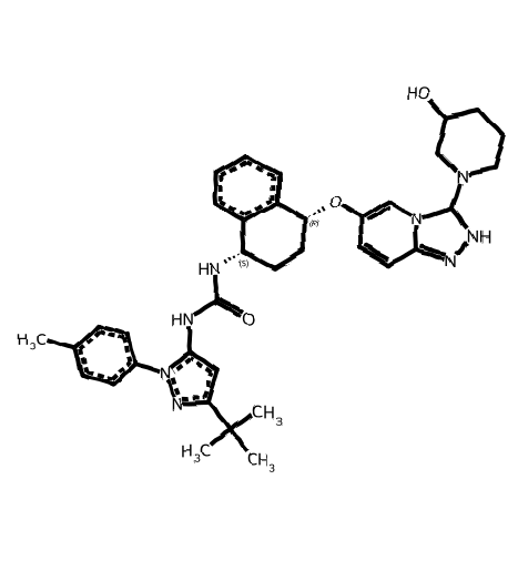 Cc1ccc(-n2nc(C(C)(C)C)cc2NC(=O)N[C@H]2CC[C@@H](OC3=CN4C(=NNC4N4CCCC(O)C4)C=C3)c3ccccc32)cc1